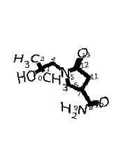 CC(C)(O)CN1CC(C(N)=O)CC1=O